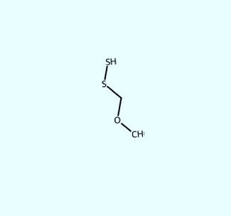 [CH]OCSS